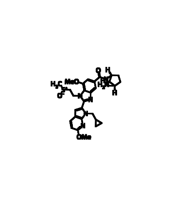 COc1ccc2cc(-c3nc4cc(C(=O)N5C[C@H]6CC[C@@H]5[C@@H]6N)cc(OC)c4n3CC[S+](C)[O-])n(CC3CC3)c2n1